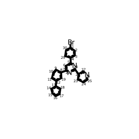 Brc1ccc(-c2cc(-c3cccc(-c4ccccc4)c3)nc(-c3cccnc3)n2)cc1